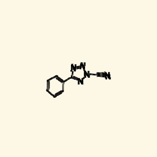 N#Cn1nnc(-c2ccccc2)n1